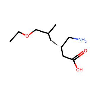 CCOCC(C)C[C@H](CN)CC(=O)O